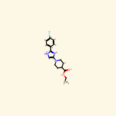 CCOC(=O)C1CCN(c2c[nH]c(-c3ccc(F)cc3)n2)CC1